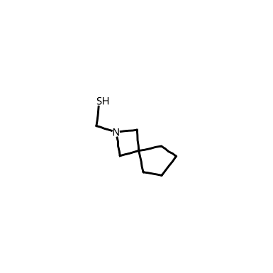 SCN1CC2(CCCC2)C1